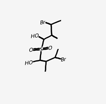 CC(Br)C(C)C(O)S(=O)(=O)C(O)C(C)C(C)Br